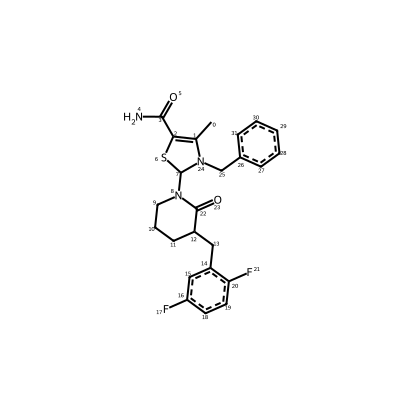 CC1=C(C(N)=O)SC(N2CCCC(Cc3cc(F)ccc3F)C2=O)N1Cc1ccccc1